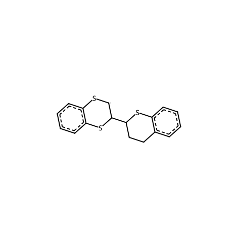 [CH]1Sc2ccccc2SC1C1CCc2ccccc2S1